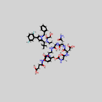 C[C@H](NC(=O)OCc1ccccc1)C(=O)N[C@H](CC(=O)O)C(=O)N[C@@H](CC(N)=O)C(=O)N[C@@H](CCN(C(=O)CO)[C@@H](c1cc(-c2cc(F)ccc2F)cn1Cc1ccccc1)C(C)(C)C)C(=O)NCCNC(=O)CNC(=O)CCC(=O)O